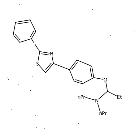 CCCN(CCC)C(CC)Oc1ccc(-c2csc(-c3ccccc3)n2)cc1